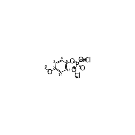 COc1ccc(OP(=O)(OCl)OCl)cc1